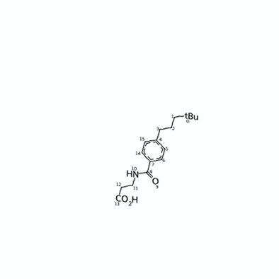 CC(C)(C)CCCc1ccc(C(=O)NCCC(=O)O)cc1